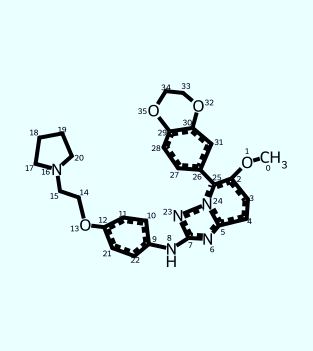 COc1ccc2nc(Nc3ccc(OCCN4CCCC4)cc3)nn2c1-c1ccc2c(c1)OCCO2